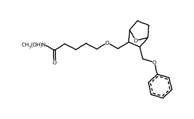 CN(O)C(=O)CCCCOCC1C2CCC(O2)C1COc1ccccc1